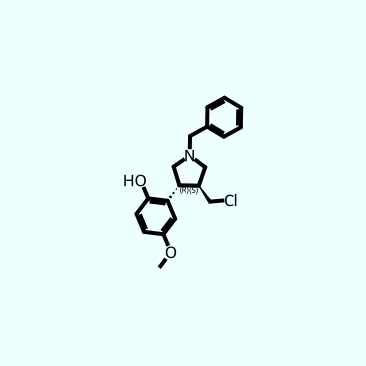 COc1ccc(O)c([C@@H]2CN(Cc3ccccc3)C[C@H]2CCl)c1